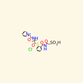 CC(C)(NC(=O)C[n+]1ccccc1)C(=O)Sc1ccccc1C(=O)NC(=O)CS(=O)(=O)O.[Cl-]